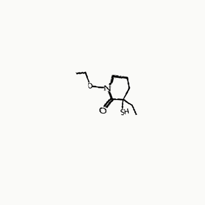 CCON1CCCC(S)(CC)C1=O